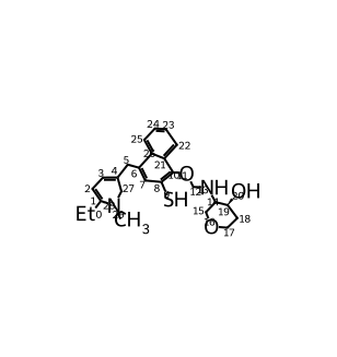 CCC1=CC=C(Cc2cc(S)c(OCNC3COCC[C@@H]3O)c3ccccc23)CN1C